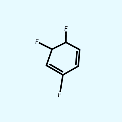 FC1=CC(F)C(F)C=C1